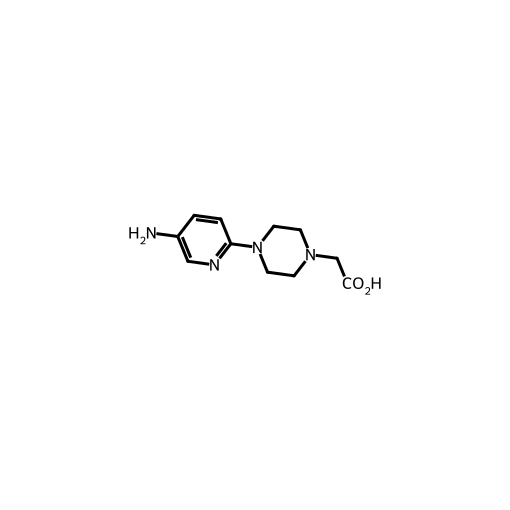 Nc1ccc(N2CCN(CC(=O)O)CC2)nc1